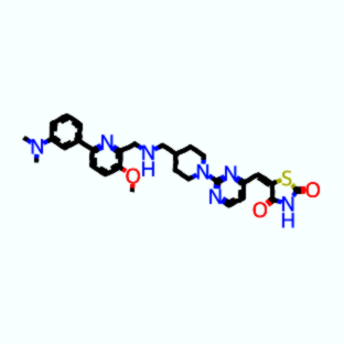 COc1ccc(-c2cccc(N(C)C)c2)nc1CNCC1CCN(c2nccc(/C=C3/SC(=O)NC3=O)n2)CC1